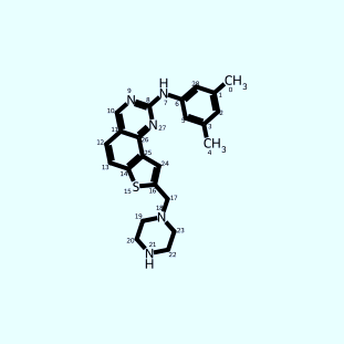 Cc1cc(C)cc(Nc2ncc3ccc4sc(CN5CCNCC5)cc4c3n2)c1